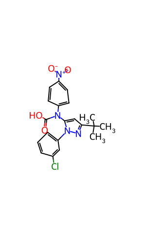 CC(C)(C)c1cc(N(C(=O)O)c2ccc([N+](=O)[O-])cc2)n(-c2cccc(Cl)c2)n1